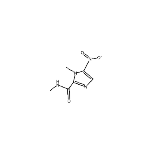 CNC(=O)c1ncc([N+](=O)[O-])n1C